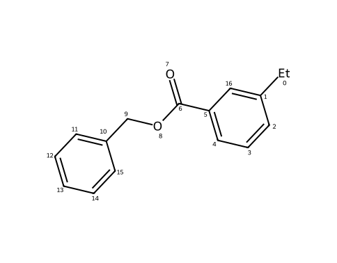 CCc1cccc(C(=O)OCc2ccccc2)c1